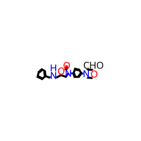 O=CC1COCCN1c1ccc(N2CC(CNCc3ccccc3)OC2=O)cc1